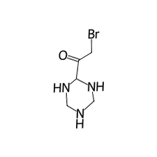 O=C(CBr)C1NCNCN1